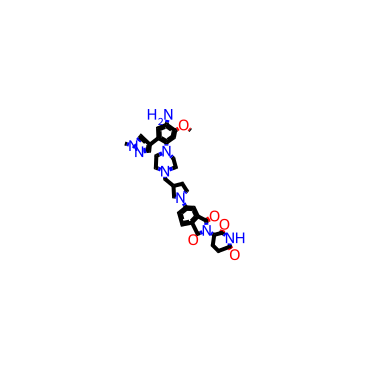 COc1cc(N2CCN(CC3CCN(c4ccc5c(c4)C(=O)N(C4CCC(=O)NC4=O)C5=O)C3)CC2)c(-c2cnn(C)c2)cc1N